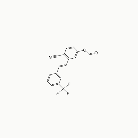 N#Cc1ccc(OC=O)cc1/C=C/c1cccc(C(F)(F)F)c1